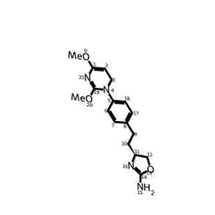 COC1=CCN(c2ccc(CC[C@H]3COC(N)=N3)cc2)C(OC)=N1